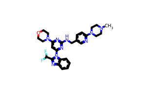 CN1CCN(c2ccc(CNc3nc(N4CCOCC4)cc(-n4c(C(F)F)nc5ccccc54)n3)cn2)CC1